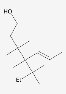 C/C=C/C(C)(C(C)(C)CC)C(C)(C)CCO